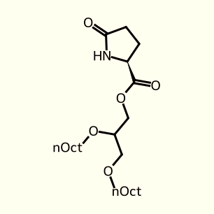 CCCCCCCCOCC(COC(=O)[C@@H]1CCC(=O)N1)OCCCCCCCC